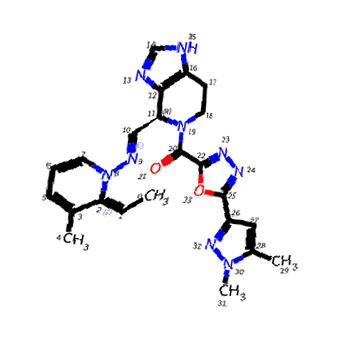 C/C=C1/C(C)=CC=CN1/N=C/[C@H]1c2nc[nH]c2CCN1C(=O)c1nnc(-c2cc(C)n(C)n2)o1